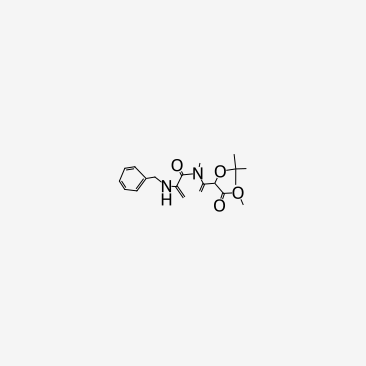 C=C(NCc1ccccc1)C(=O)N(C)C(=C)C(OC(C)(C)C)C(=O)OC